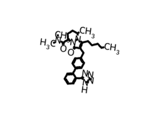 CCCCCc1c(Cc2ccc(-c3ccccc3-c3nnn[nH]3)cc2)c(=O)n2n1C(C)CCC2C(=O)N(C)C